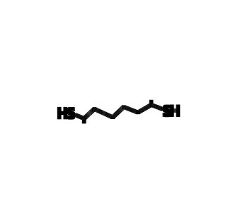 S[CH]CCCC[CH]S